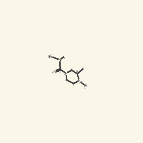 CCN1CCN(C(=O)N(C)C(C)C)CC1C